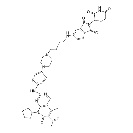 CC(=O)c1c(C)c2cnc(Nc3ccc(N4CCN(CCCCNc5ccc6c(c5)C(=O)N(C5CCC(=O)NC5=O)C6=O)CC4)cn3)nc2n(C2CCCC2)c1=O